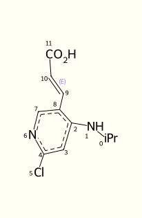 CC(C)Nc1cc(Cl)ncc1/C=C/C(=O)O